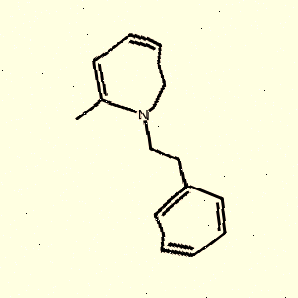 CC1=CC=CCN1CCc1ccccc1